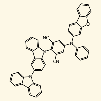 N#Cc1cc(N(c2ccccc2)c2ccc3c(c2)oc2ccccc23)cc(C#N)c1-n1c2ccccc2c2cc(-n3c4ccccc4c4ccccc43)ccc21